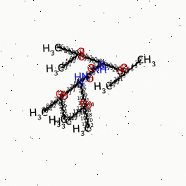 CCCCCCCCC(CCCCCCCC)C(=O)OCCCCCCCN(CCCCCCCOC(=O)C(CCCCCCCC)CCCCCCCC)CCNC(=O)CCC(=O)NCCN(CCCCCCCOC(=O)C(CCCCCCCC)CCCCCCCC)CCCCCCCOC(=O)C(CCCCCCCC)CCCCCCCC